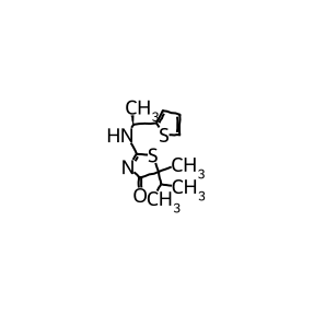 CC(C)C1(C)SC(N[C@@H](C)c2cccs2)=NC1=O